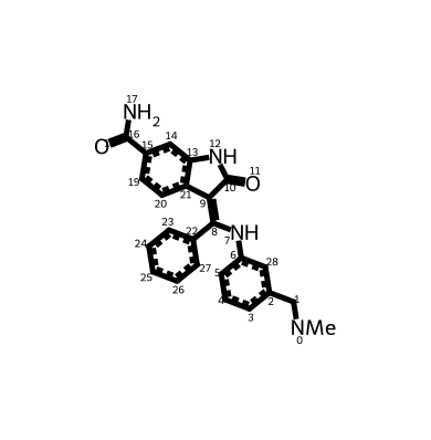 CNCc1cccc(N/C(=C2\C(=O)Nc3cc(C(N)=O)ccc32)c2ccccc2)c1